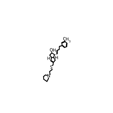 Cc1cccc(CC/C=C/[C@@H]2[C@H]3CC(CSCCCN4CCCCC4)=C[C@H]3C[C@H]2O)c1